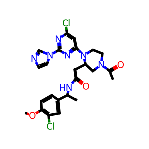 COc1ccc(C(C)NC(=O)CC2CN(C(C)=O)CCN2c2cc(Cl)nc(-n3ccnc3)n2)cc1Cl